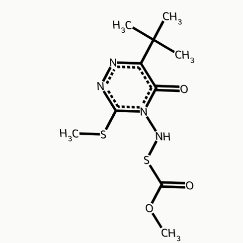 COC(=O)SNn1c(SC)nnc(C(C)(C)C)c1=O